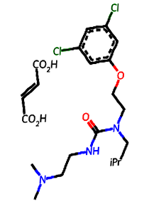 CC(C)CN(CCOc1cc(Cl)cc(Cl)c1)C(=O)NCCN(C)C.O=C(O)C=CC(=O)O